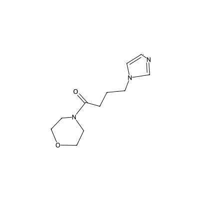 O=C(CCCn1c[c]nc1)N1CCOCC1